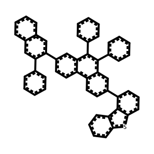 c1ccc(-c2cc3ccccc3cc2-c2ccc3c(c2)c(-c2ccccc2)c(-c2ccccc2)c2cc(-c4cccc5sc6ccccc6c45)ccc23)cc1